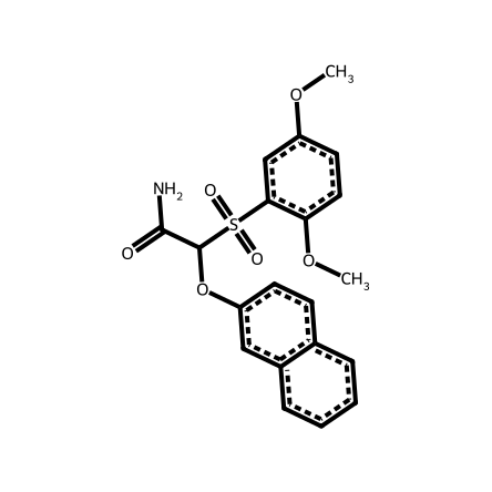 COc1ccc(OC)c(S(=O)(=O)C(Oc2ccc3ccccc3c2)C(N)=O)c1